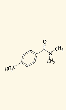 CN(C)C(=O)c1ccc(C(=O)O)cc1